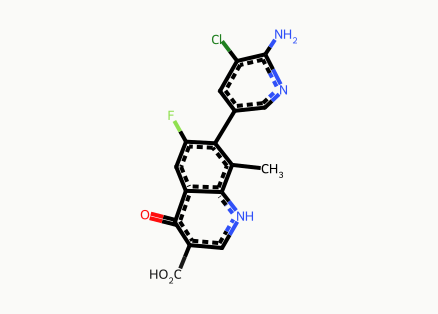 Cc1c(-c2cnc(N)c(Cl)c2)c(F)cc2c(=O)c(C(=O)O)c[nH]c12